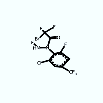 O=C(N(NF)c1c(F)cc(C(F)(F)F)cc1Cl)C(F)(F)Br